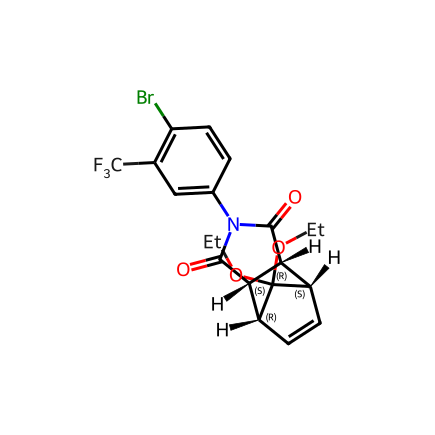 CCOC1(OCC)[C@@H]2C=C[C@H]1[C@H]1C(=O)N(c3ccc(Br)c(C(F)(F)F)c3)C(=O)[C@H]12